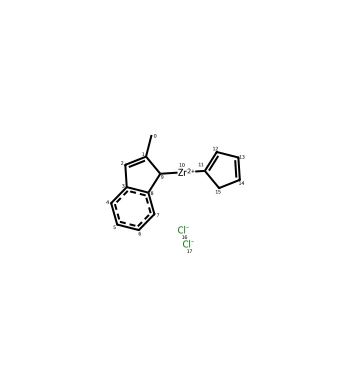 CC1=Cc2ccccc2[CH]1[Zr+2][C]1=CC=CC1.[Cl-].[Cl-]